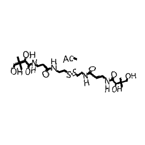 CC(C)(CO)C(O)C(=O)NCCC(=O)NCCSSCCNC(=O)CCNC(=O)C(O)C(C)(C)CO.CC(C)=O